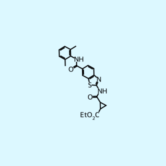 CCOC(=O)C1CC1C(=O)Nc1nc2ccc(C(=O)Nc3c(C)cccc3C)cc2s1